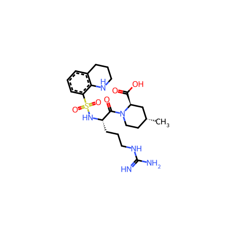 C[C@@H]1CCN(C(=O)[C@H](CCCNC(=N)N)NS(=O)(=O)c2cccc3c2NCCC3)[C@@H](C(=O)O)C1